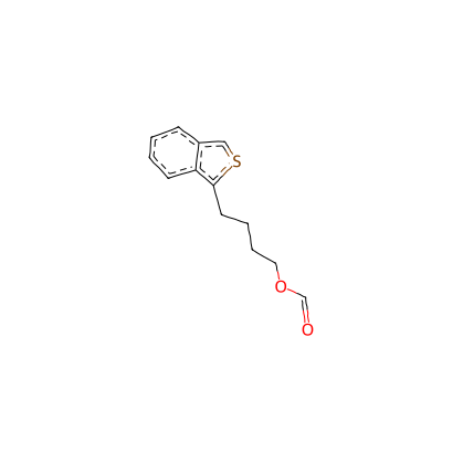 O=COCCCCc1scc2ccccc12